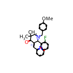 COc1ccc(CN2CC(C)(C)C(=O)/C(=C/c3ccccn3)C2c2ccccc2F)cc1